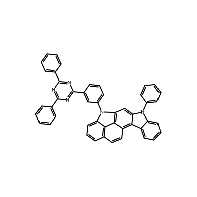 c1ccc(-c2nc(-c3ccccc3)nc(-c3cccc(-n4c5cccc6ccc7c8c9ccccc9n(-c9ccccc9)c8cc4c7c65)c3)n2)cc1